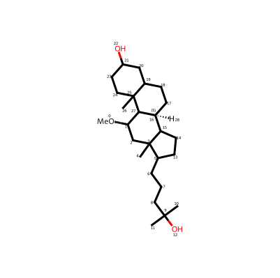 COC1CC2(C)C(CCCC(C)(C)O)CCC2[C@@H]2CCC3CC(O)CCC3(C)C12